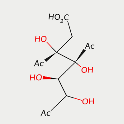 CC(=O)C(O)[C@@H](O)[C@](O)(C(C)=O)[C@](O)(CC(=O)O)C(C)=O